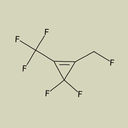 FCC1=C(C(F)(F)F)C1(F)F